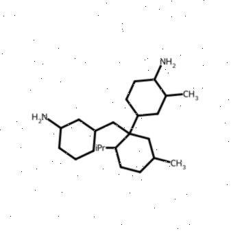 CC1CCC(C(C)C)C(CC2CCCC(N)C2)(C2CCC(N)C(C)C2)C1